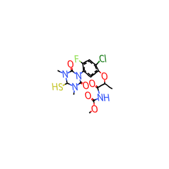 COC(=O)NC(=O)C(C)Oc1cc(N2C(=O)N(C)C(S)N(C)C2=O)c(F)cc1Cl